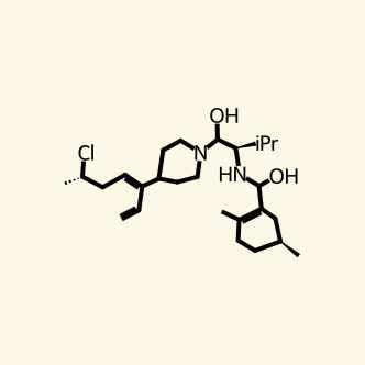 C=C/C(=C\C[C@H](C)Cl)C1CCN(C(O)[C@H](NC(O)C2=C(C)CC[C@H](C)C2)C(C)C)CC1